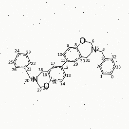 c1ccc(CN2COc3ccc(-c4ccc5c(c4)CN(Cc4ccccc4)CO5)cc3C2)cc1